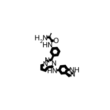 C[C@H](N)C(=O)Nc1cccc(-c2nc(Nc3ccc4[nH]ncc4c3)c3cccn3n2)c1